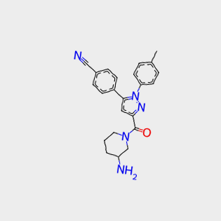 Cc1ccc(-n2nc(C(=O)N3CCCC(N)C3)cc2-c2ccc(C#N)cc2)cc1